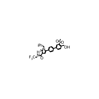 CC(C)Cn1nc(C(=O)NCC(F)(F)F)cc1-c1ccc(-c2ccc(CO)c(S(C)(=O)=O)c2)cc1